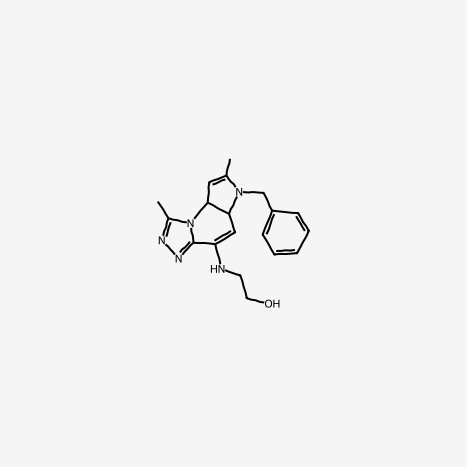 CC1=CC2C(C=C(NCCO)c3nnc(C)n32)N1Cc1ccccc1